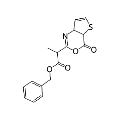 CC(C(=O)OCc1ccccc1)C1=NC2C=CSC2C(=O)O1